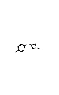 CCC(C)N1CC(Oc2ccc(C)cn2)C1